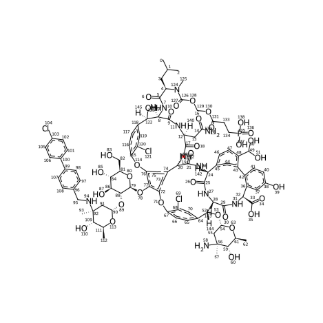 CC(C)C[C@H](C(=O)N[C@H]1C(=O)N[C@@H](CC(N)=O)C(=O)N[C@H]2C(=O)N[C@H]3C(=O)N[C@H](C(=O)N[C@H](C(=O)O)c4cc(O)ccc4-c4cc3ccc4C(O)O)[C@H](O[C@H]3C[C@](C)(N)[C@@H](O)[C@H](C)O3)c3ccc(c(Cl)c3)Oc3cc2cc(c3O[C@@H]2O[C@H](CO)[C@@H](O)[C@H](O)[C@H]2O[C@H]2C[C@](C)(NCc3ccc(-c4ccc(Cl)cc4)cc3)[C@@H](O)[C@H](C)O2)Oc2ccc(cc2Cl)[C@H]1O)N(C)C(=O)OCOC(=O)CCP(=O)(O)O